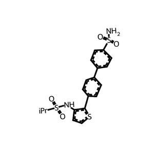 CC(C)S(=O)(=O)Nc1ccsc1-c1ccc(-c2ccc(S(N)(=O)=O)cc2)cc1